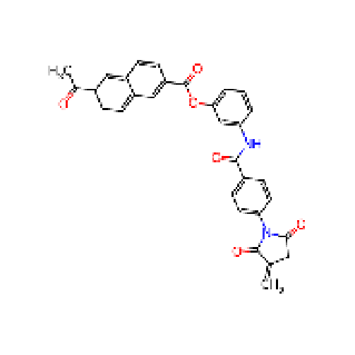 C=C1CC(=O)N(c2ccc(C(=O)Nc3cccc(OC(=O)c4ccc5c(c4)=CCC(C(C)=O)C=5)c3)cc2)C1=O